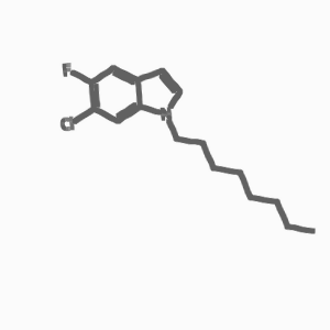 CCCCCCCCn1ccc2cc(F)c(Cl)cc21